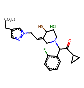 CCOC(=O)Cc1cnn(C/C=C2/CN(C(C(=O)C3CC3)c3ccccc3F)CCC2S)c1.Cl